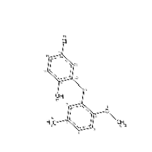 COc1ccc(C)cc1Cc1cc(Cl)ccc1O